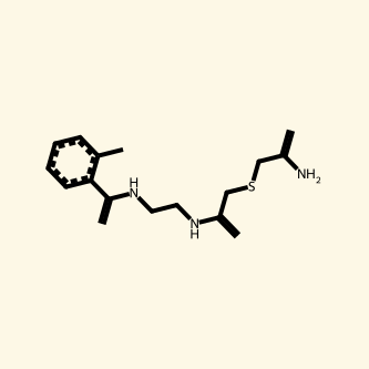 C=C(N)CSCC(=C)NCCNC(=C)c1ccccc1C